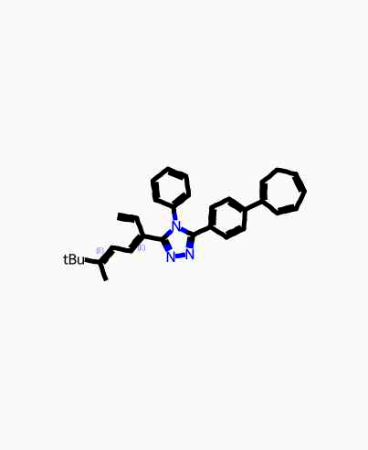 C=C/C(=C\C=C(/C)C(C)(C)C)c1nnc(-c2ccc(C3=CCC=CC=C3)cc2)n1-c1ccccc1